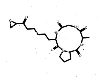 CC1NC(=O)C2CCCN2C(=O)C(CCCCCC(=O)C2CO2)NC(=O)CNC1=O